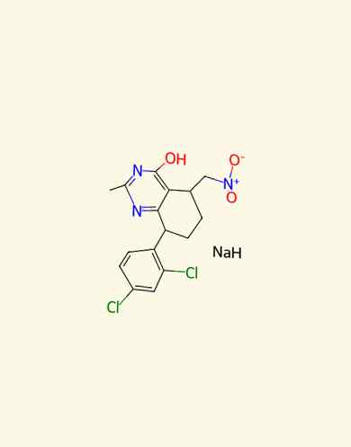 Cc1nc(O)c2c(n1)C(c1ccc(Cl)cc1Cl)CCC2C[N+](=O)[O-].[NaH]